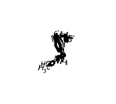 Cc1nc2ccc(-c3ccn4nc(NC5CCC(C)(O)CC5)ncc34)nc2n1[C@H]1CC1(F)F